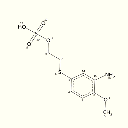 COc1ccc(SCCOS(=O)(=O)O)cc1N